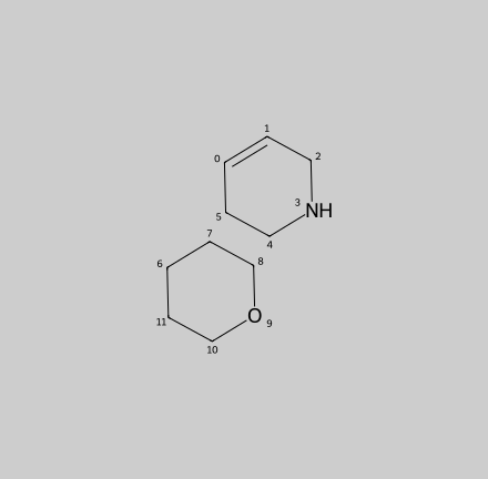 C1=CCNCC1.C1CCOCC1